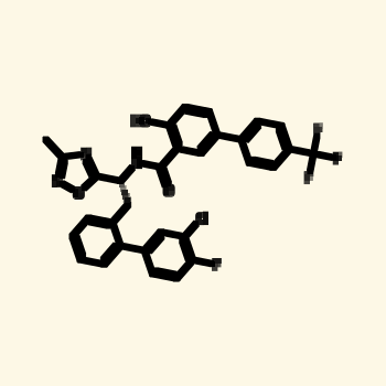 Cc1noc([C@@H](Cc2ccccc2-c2ccc(F)c(Cl)c2)NC(=O)c2cc(-c3ccc(C(F)(F)F)cc3)ccc2O)n1